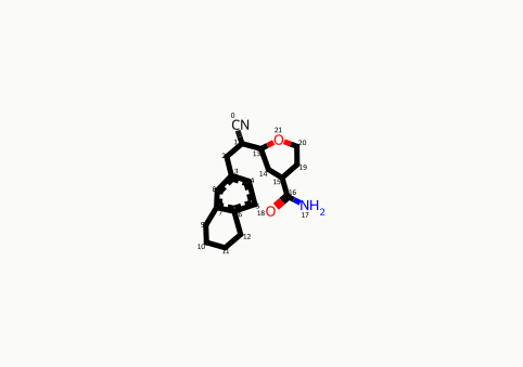 N#CC(Cc1ccc2c(c1)CCCC2)C1CC(C(N)=O)CCO1